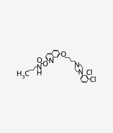 CCCCNC(=O)Oc1ccc2ccc(OCCCCN3CCN(c4cccc(Cl)c4Cl)CC3)cc2n1